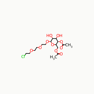 CC(=O)OCC1O[C@@H](OCCOCCOCCCl)[C@@H](O)C(O)[C@H]1OC(C)=O